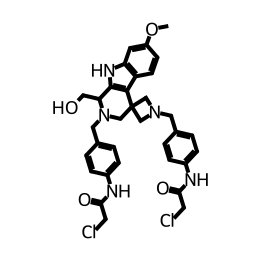 COc1ccc2c3c([nH]c2c1)C(CO)N(Cc1ccc(NC(=O)CCl)cc1)CC31CN(Cc2ccc(NC(=O)CCl)cc2)C1